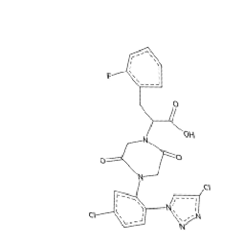 O=C(O)C(Cc1ccccc1F)N1CC(=O)N(c2cc(Cl)ccc2-n2cc(Cl)nn2)CC1=O